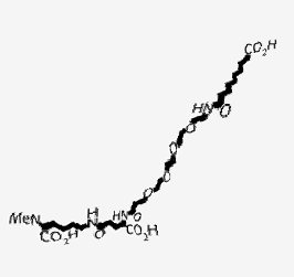 CN[C@@H](CCCCNC(=O)CC[C@H](NC(=O)CCOCCOCCOCCOCCNC(=O)CCCCCCCCC(=O)O)C(=O)O)C(=O)O